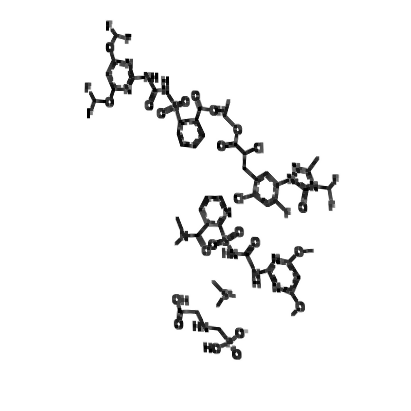 CCOC(=O)C(Cl)Cc1cc(-n2nc(C)n(C(F)F)c2=O)c(F)cc1Cl.COc1cc(OC)nc(NC(=O)NS(=O)(=O)c2ncccc2C(=O)N(C)C)n1.C[S+](C)C.O=C(Nc1nc(OC(F)F)cc(OC(F)F)n1)NS(=O)(=O)c1ccccc1C(=O)O.O=C(O)CNCP(=O)([O-])O